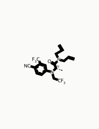 C=CCN(CC=C)C(=O)[C@H](C)N(CC(F)(F)F)c1ccc(C#N)c(C(F)(F)F)c1